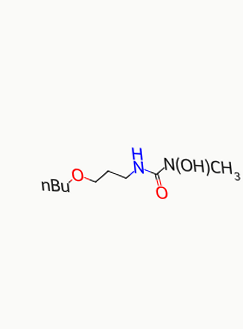 CCCCOCCCNC(=O)N(C)O